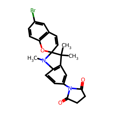 CN1c2ccc(N3C(=O)CCC3=O)cc2C(C)(C)C12C=Cc1cc(Br)ccc1O2